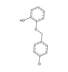 Oc1ccccc1OCc1ccc(Cl)cc1